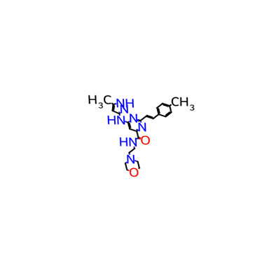 Cc1ccc(/C=C/c2nc(Nc3cc(C)[nH]n3)cc(C(=O)NCCN3CCOCC3)n2)cc1